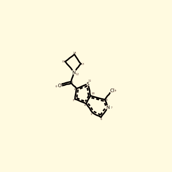 O=C(c1cc2ccnc(Cl)c2s1)N1CCC1